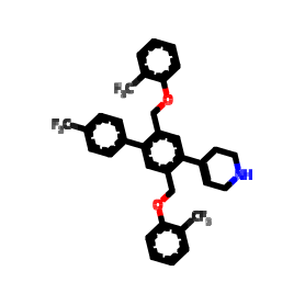 FC(F)(F)c1ccc(-c2cc(COc3ccccc3C(F)(F)F)c(C3=CCNCC3)cc2COc2ccccc2C(F)(F)F)cc1